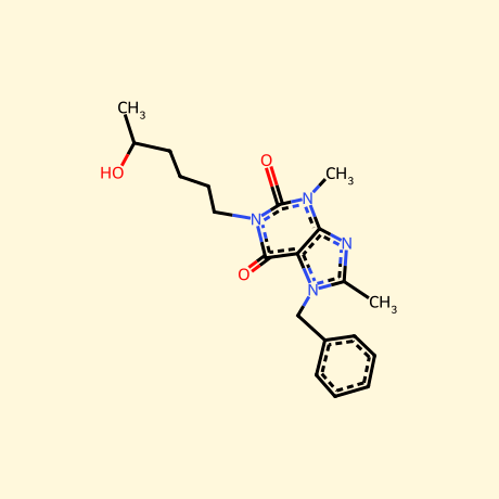 Cc1nc2c(c(=O)n(CCCCC(C)O)c(=O)n2C)n1Cc1ccccc1